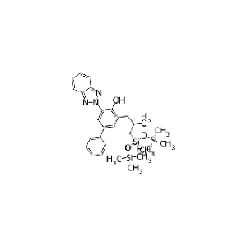 CC(Cc1cc(-c2ccccc2)cc(-n2nc3ccccc3n2)c1O)C[Si](C)(O[Si](C)(C)C)O[Si](C)(C)C